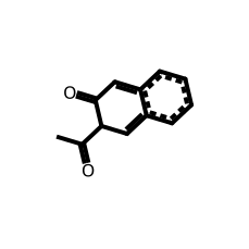 CC(=O)C1C=c2ccccc2=CC1=O